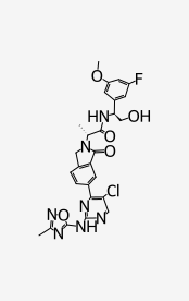 COc1cc(F)cc([C@@H](CO)NC(=O)[C@@H](C)N2Cc3ccc(-c4nc(Nc5nc(C)no5)ncc4Cl)cc3C2=O)c1